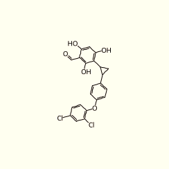 O=Cc1c(O)cc(O)c(C2CC2c2ccc(Oc3ccc(Cl)cc3Cl)cc2)c1O